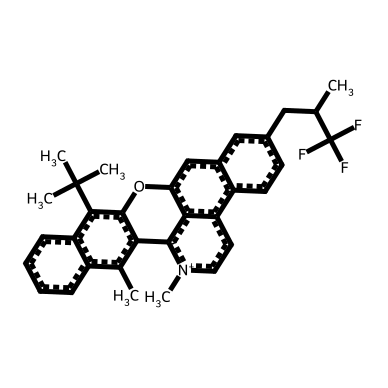 Cc1c2c(c(C(C)(C)C)c3ccccc13)Oc1cc3cc(CC(C)C(F)(F)F)ccc3c3cc[n+](C)c-2c13